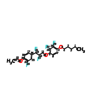 CCCCCOc1ccc(OCC(F)C(F)c2ccc(OCC)c(F)c2)c(F)c1F